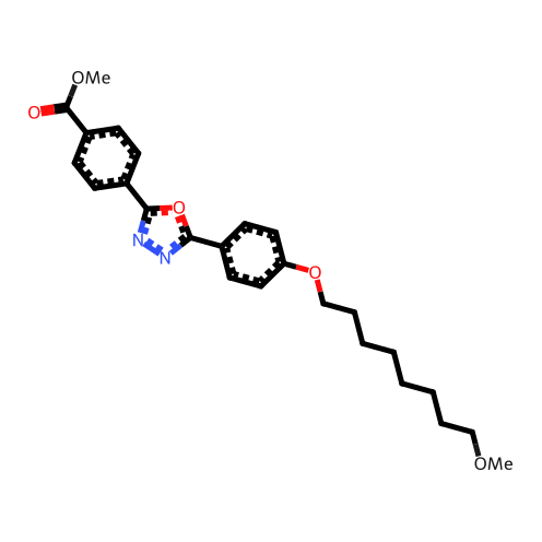 COCCCCCCCCOc1ccc(-c2nnc(-c3ccc(C(=O)OC)cc3)o2)cc1